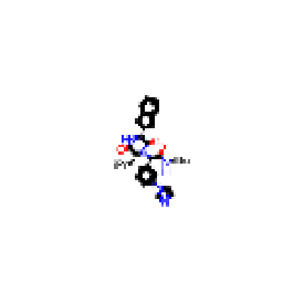 CC(C)C[C@@H]1C(=O)N[C@H](C2Cc3ccccc3C2)C(=O)N1[C@@H](C(=O)NC(C)(C)C)c1cccc(-n2ccnc2)c1